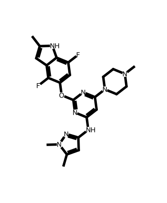 Cc1cc2c(F)c(Oc3nc(Nc4cc(C)n(C)n4)cc(N4CCN(C)CC4)n3)cc(F)c2[nH]1